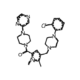 Cc1c(CN2CCN(c3ccccc3Cl)CC2)cc(C(=O)N2CCN(c3cnccn3)CC2)n1C